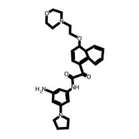 Nc1cc(NC(=O)C(=O)C2=C3C=CC=CC3C(OCCN3CCOCC3)C=C2)cc(N2CCCC2)c1